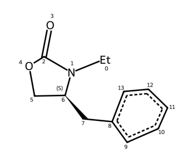 CCN1C(=O)OC[C@@H]1Cc1ccccc1